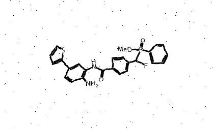 COP(=O)(c1ccccc1)C(F)c1ccc(C(=O)Nc2cc(-c3cccs3)ccc2N)cc1